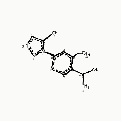 Cc1nnnn1-c1ccc(C(C)C)c(O)c1